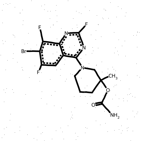 CC1(OC(N)=O)CCCN(c2nc(F)nc3c(F)c(Br)c(F)cc23)C1